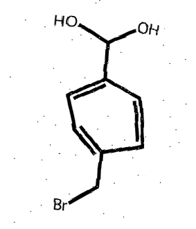 OC(O)c1ccc(CBr)cc1